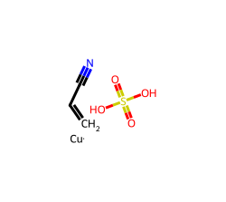 C=CC#N.O=S(=O)(O)O.[Cu]